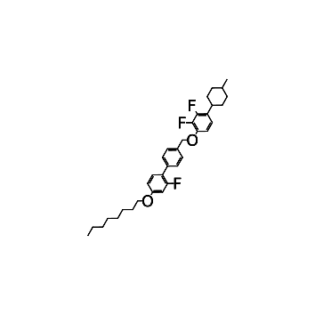 CCCCCCCCOc1ccc(-c2ccc(COc3ccc(C4CCC(C)CC4)c(F)c3F)cc2)c(F)c1